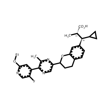 CCOc1cc(-c2ncc(C3CCc4ccc([C@H](C5CC5)[C@H](C)C(=O)O)cc4O3)nc2C)c(F)cn1